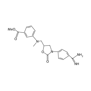 COC(=O)c1cccc(N(C)CC2CN(c3ccc(C(=N)N)cc3)C(=O)O2)c1